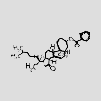 CC(C)CCC[C@@H](C)[C@H]1CC(=O)[C@@H]2C3=CC[C@H]4C[C@@H](OC(=O)c5ccccc5)CC[C@]4(C)[C@H]3CC[C@@]21C